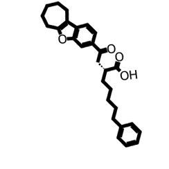 O=C(C[C@@H](CCCCCc1ccccc1)C(=O)O)c1ccc2c3c(oc2c1)CCCCC3